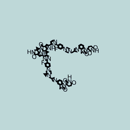 Cn1c(=O)n(C2CCC(=O)NC2=O)c2ccc(N3CC(CN4CCN(c5ccc(-c6nccc(-c7cc8c([nH]7)C7(CNC8=O)CC7N7CC8(CC8)c8[nH]c(-c9ccnc(-c%10ccc(N%11CCN(CC%12CN(c%13cccc%14c%13n(C)c(=O)n%14C%13CCC(=O)NC%13=O)C%12)CC%11)cc%10F)n9)cc8C7=O)n6)c(F)c5)CC45CC5)C3)cc21